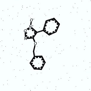 [O-][n+]1onc(OCc2ccccc2)c1-c1ccccc1